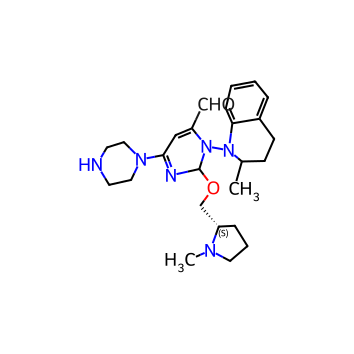 CC1CCc2ccccc2N1N1C(C=O)=CC(N2CCNCC2)=NC1OC[C@@H]1CCCN1C